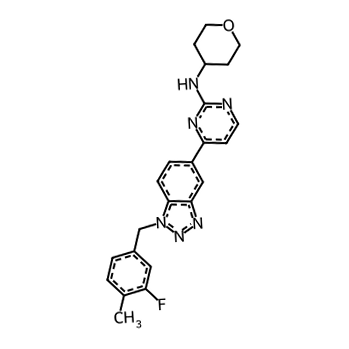 Cc1ccc(Cn2nnc3cc(-c4ccnc(NC5CCOCC5)n4)ccc32)cc1F